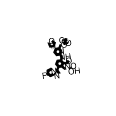 CS(=O)(=O)OCc1nc(Nc2ccc(-c3cnc4cc(F)ccn34)c3c2C(=O)N(C(=O)O)C3)ccc1[C@@H]1CCOC1